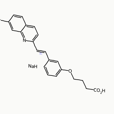 O=C(O)CCCOc1cccc(/C=C/c2ccc3ccc(Br)cc3n2)c1.[NaH]